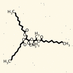 CCCCCCCCCC(=O)OCC(OC(=O)CCCCCCCCC)C(OC)OC(C)C(C)OC(=O)CCCCCCCCC